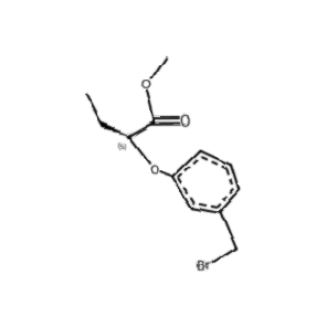 CC[C@H](Oc1cccc(CBr)c1)C(=O)OC